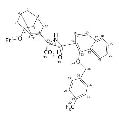 CCOC12CC3CC(C1)CC([C@H](NC(=O)c1ccc4ccccc4c1OCc1ccc(C(F)(F)F)cc1)C(=O)O)(C3)C2